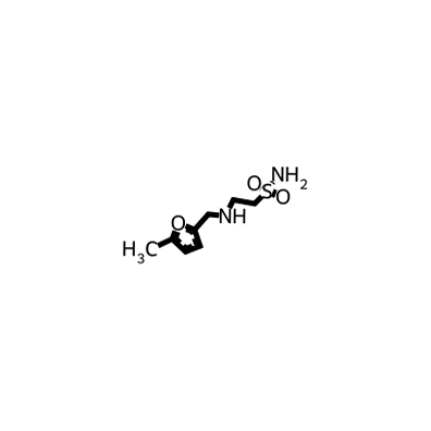 Cc1ccc(CNCCS(N)(=O)=O)o1